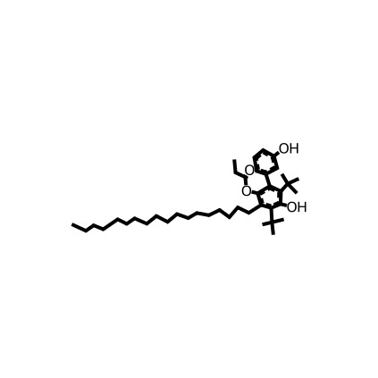 CCCCCCCCCCCCCCCCCCc1c(OC(=O)CC)c(-c2cccc(O)c2)c(C(C)(C)C)c(O)c1C(C)(C)C